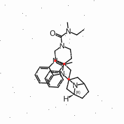 CCN(C)C(=O)N1CCC(CCN2C3CC[C@@H]2CC(n2c(C)nc4ccccc42)C3)(c2ccccc2)CC1